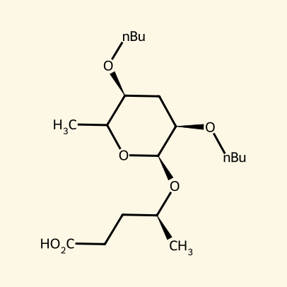 CCCCO[C@H]1C[C@@H](OCCCC)[C@@H](O[C@@H](C)CCC(=O)O)OC1C